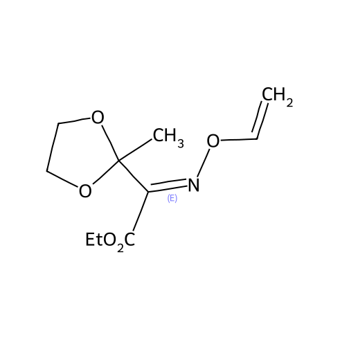 C=CO/N=C(/C(=O)OCC)C1(C)OCCO1